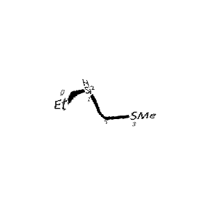 CC[SiH2]CSC